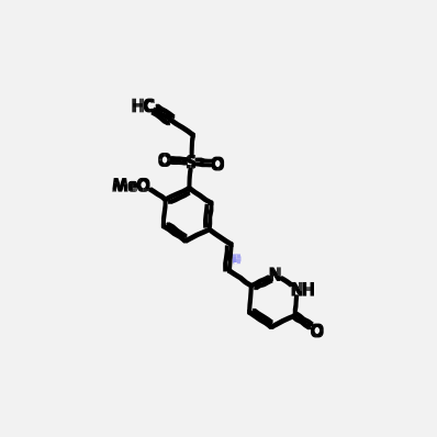 C#CCS(=O)(=O)c1cc(/C=C/c2ccc(=O)[nH]n2)ccc1OC